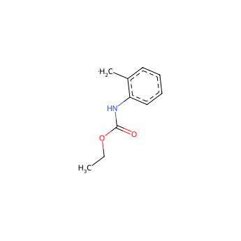 [CH2]c1ccccc1NC(=O)OCC